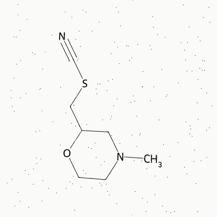 CN1CCOC(CSC#N)C1